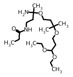 CCOC(CCOC(C)(C)CCOC(C)(N)CCNC(=O)CC)OCC